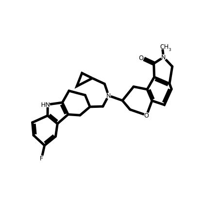 CN1Cc2ccc3c(c2C1=O)CC(N(CC1CC1)CC1CCc2[nH]c4ccc(F)cc4c2C1)CO3